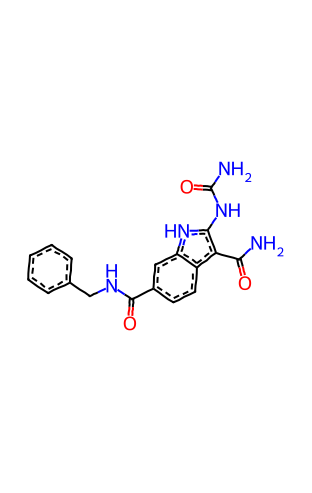 NC(=O)Nc1[nH]c2cc(C(=O)NCc3ccccc3)ccc2c1C(N)=O